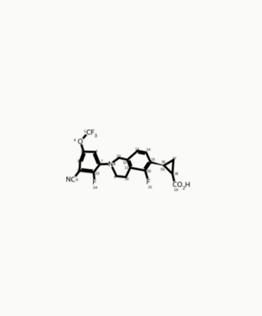 N#Cc1cc(OC(F)(F)F)cc(N2CCc3c(ccc([C@H]4CC4C(=O)O)c3F)C2)c1F